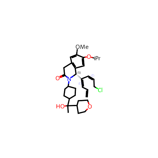 C=C/C=C(\C=C/CCl)[C@H]1c2cc(OC(C)C)c(OC)cc2CC(=O)N1C1CCC(C(C)(O)C2CCOCC2)CC1